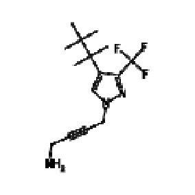 CC(C)(C)C(C)(C)c1cn(CC#CCN)nc1C(F)(F)F